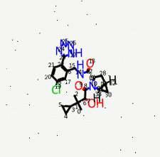 CC(C)(C1CC1)C(O)C(=O)N1[C@H](C(=O)NCc2cc(Cl)ccc2-c2nnn[nH]2)C[C@@H]2C[C@@H]21